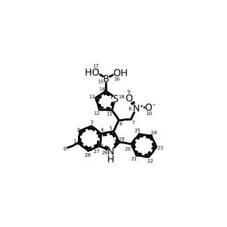 Cc1ccc2c(C(C[N+](=O)[O-])c3ccc(B(O)O)s3)c(-c3ccccc3)[nH]c2c1